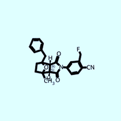 CC12CCC(Cc3ccccc3)(O1)[C@@H]1C(=O)N(c3ccc(C#N)c(CF)c3)C(=O)[C@@H]12